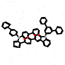 c1ccc(-c2ccc(N(c3ccc(-c4ccccc4)cc3)c3ccccc3-c3ccc(-c4ccc5c(c4)c4ccccc4n5-c4cc(-c5ccccc5)cc(-c5ccccc5)c4)cc3)cc2)cc1